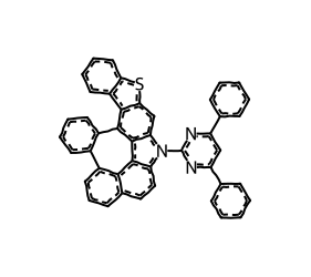 c1ccc(-c2cc(-c3ccccc3)nc(-n3c4cc5sc6ccccc6c5c5c4c4c6c(cccc6ccc43)-c3ccccc3-5)n2)cc1